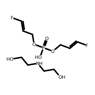 O=P(O)(OCC=CF)OCC=CF.OCCNCCO